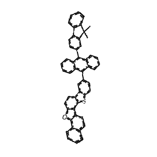 CC1(C)c2ccccc2-c2ccc(-c3c4ccccc4c(-c4ccc5sc6c(ccc7oc8c9ccccc9ccc8c76)c5c4)c4ccccc34)cc21